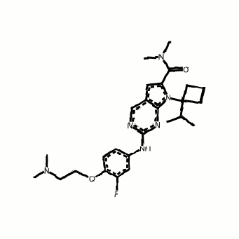 CC(C)C1(n2c(C(=O)N(C)C)cc3cnc(Nc4ccc(OCCN(C)C)c(F)c4)nc32)CCC1